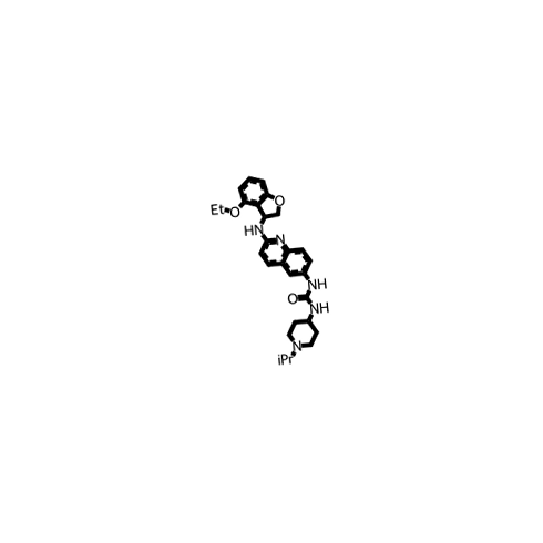 CCOc1cccc2c1C(Nc1ccc3cc(NC(=O)NC4CCN(C(C)C)CC4)ccc3n1)CO2